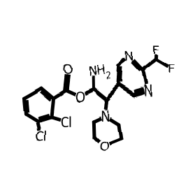 NC(OC(=O)c1cccc(Cl)c1Cl)C(c1cnc(C(F)F)nc1)N1CCOCC1